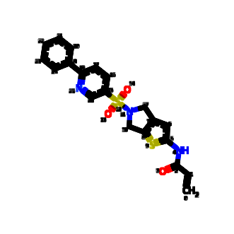 C=CC(=O)Nc1cc2c(s1)CN(S(=O)(=O)c1ccc(-c3ccccc3)nc1)C2